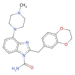 CN1CCN(c2cccc3c2nc(Cc2ccc4c(c2)OCCO4)n3C(N)=O)CC1